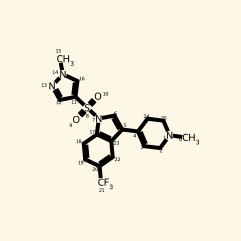 CN1CC=C(c2cn(S(=O)(=O)c3cnn(C)c3)c3ccc(C(F)(F)F)cc23)CC1